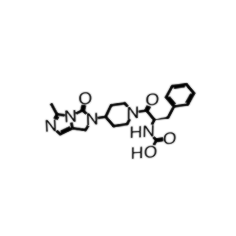 Cc1ncc2n1C(=O)N(C1CCN(C(=O)[C@@H](Cc3ccccc3)NC(=O)O)CC1)C2